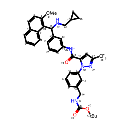 COc1ccc2ccccc2c1C(NCC1CC1)c1cccc(NC(=O)c2cc(C(F)(F)F)nn2-c2cccc(CNC(=O)OC(C)(C)C)c2)c1